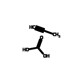 C#CC.O=C(O)O